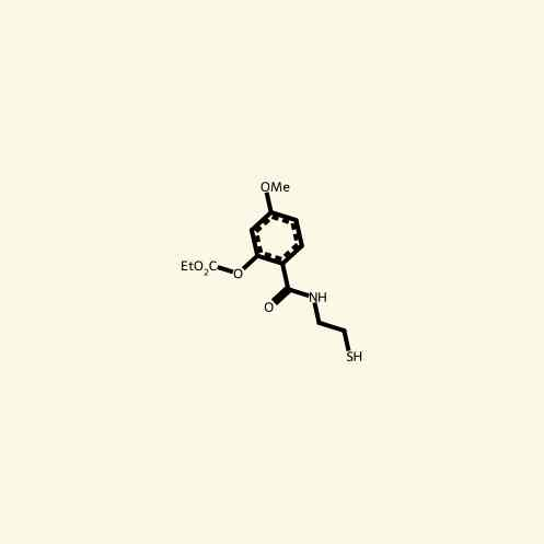 CCOC(=O)Oc1cc(OC)ccc1C(=O)NCCS